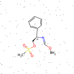 BOC=N[C@@H](COS(C)(=O)=O)c1ccccc1